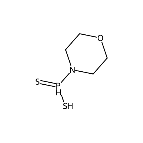 S=[PH](S)N1CCOCC1